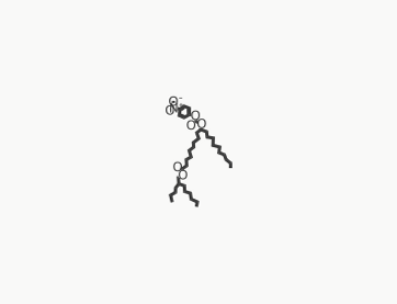 CCCCCCCCCCC(CCCCCCCCC(=O)OCC(CCCC)CCCCCC)OC(=O)Oc1ccc([N+](=O)[O-])cc1